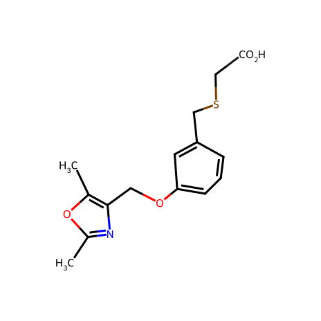 Cc1nc(COc2cccc(CSCC(=O)O)c2)c(C)o1